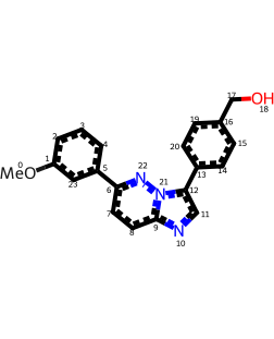 COc1cccc(-c2ccc3ncc(-c4ccc(CO)cc4)n3n2)c1